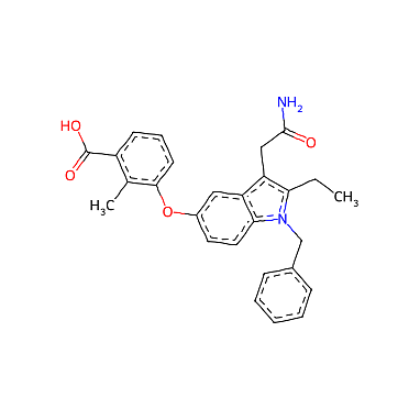 CCc1c(CC(N)=O)c2cc(Oc3cccc(C(=O)O)c3C)ccc2n1Cc1ccccc1